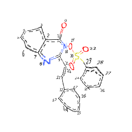 O=c1c2ccccc2nc(C=Cc2ccccc2)n1OS(=O)(=O)c1ccccc1